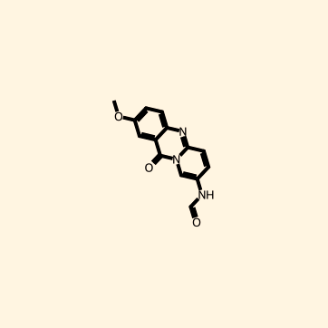 COc1ccc2nc3ccc(NC=O)cn3c(=O)c2c1